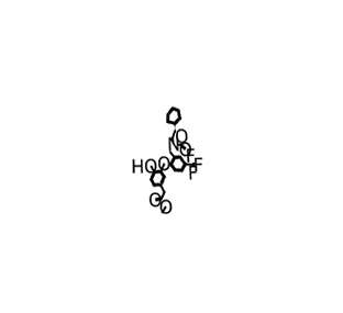 COC(=O)Cc1ccc(O)c(Oc2ccc(C(F)(F)F)cc2CN2C[C@H](c3ccccc3)OC2=O)c1